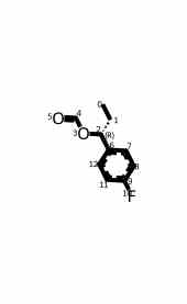 CC[C@@H](OC=O)c1ccc(F)cc1